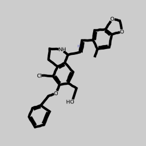 Cc1cc2c(cc1/C=C/C1NCCc3c1cc(CO)c(OCc1ccccc1)c3Cl)OCO2